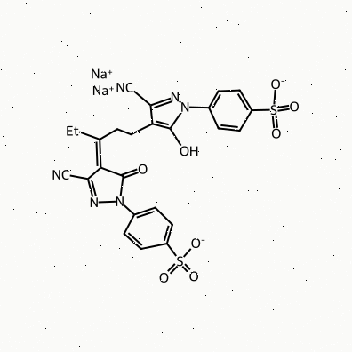 CCC(CCc1c(C#N)nn(-c2ccc(S(=O)(=O)[O-])cc2)c1O)=C1C(=O)N(c2ccc(S(=O)(=O)[O-])cc2)N=C1C#N.[Na+].[Na+]